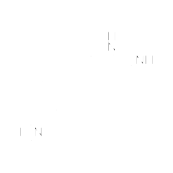 CC1NNC2CCC(N)CC12